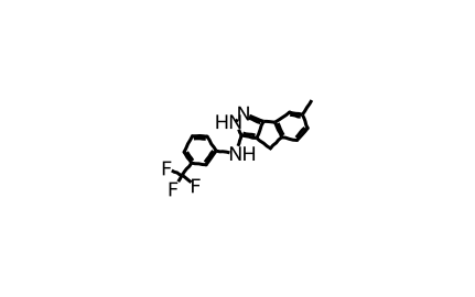 Cc1ccc2c(c1)-c1n[nH]c(Nc3cccc(C(F)(F)F)c3)c1C2